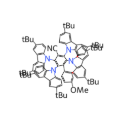 COc1ccc(-c2c(-n3c4ccc(C(C)(C)C)cc4c4cc(C(C)(C)C)ccc43)c(-n3c4ccc(C(C)(C)C)cc4c4cc(C(C)(C)C)ccc43)c(C#N)c(-n3c4ccc(C(C)(C)C)cc4c4cc(C(C)(C)C)ccc43)c2-n2c3ccc(C(C)(C)C)cc3c3cc(C(C)(C)C)ccc32)cc1